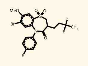 COc1cc2c(cc1Br)N(c1ccc(F)cc1)C(=O)C(CCC(C)(F)F)CS2(=O)=O